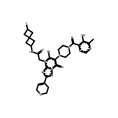 CCc1c(N2CCN(C(=O)c3ncnc(C)c3O)CC2)c(=O)n2nc(C3=CCOCC3)nc2n1CC(=O)NC1CC2(CC(F)C2)C1